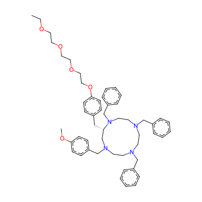 CCOCCOCCOCCOc1ccc(C[C@H]2CN(Cc3ccc(OC)cc3)CCN(Cc3ccccc3)CCN(Cc3ccccc3)CCN2Cc2ccccc2)cc1